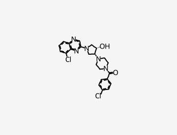 O=C(c1ccc(Cl)cc1)N1CCN([C@H]2CN(c3cnc4cccc(Cl)c4n3)C[C@@H]2O)CC1